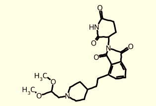 COC(CN1CCC(CCc2cccc3c2C(=O)N(C2CCC(=O)NC2=O)C3=O)CC1)OC